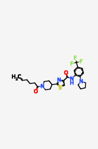 C=CCCCC(=O)N1CCC(c2nc(C(=O)Nc3cc(C(F)(F)F)ccc3N3CCCC3)cs2)CC1